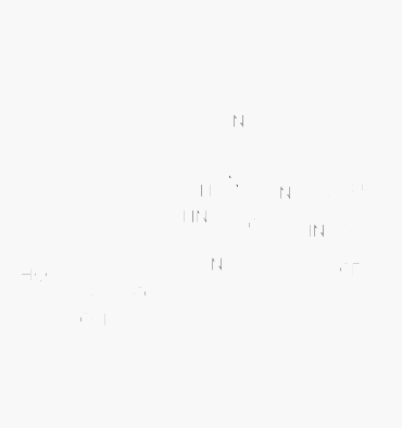 Cc1cc(C(=O)N[C@H](C)C(F)(F)F)nc2c1N1CCC[C@@H](C1)N2C(=O)Nc1cc(OC[C@H](O)CO)ccn1